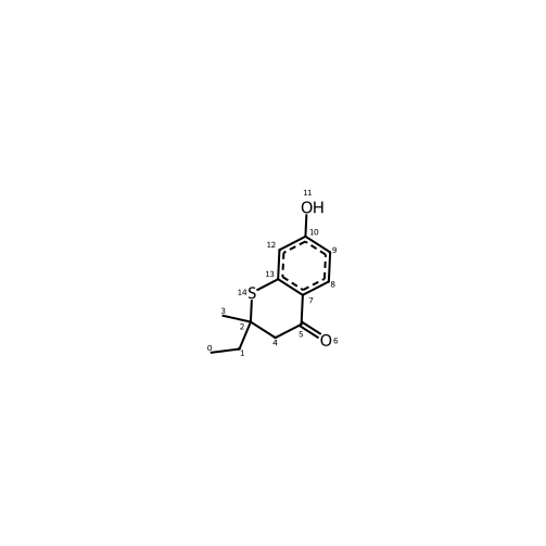 CCC1(C)CC(=O)c2ccc(O)cc2S1